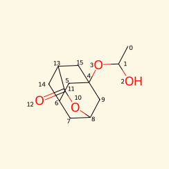 CC(O)OC12CC3CC(C1)OC(=O)C(C3)C2